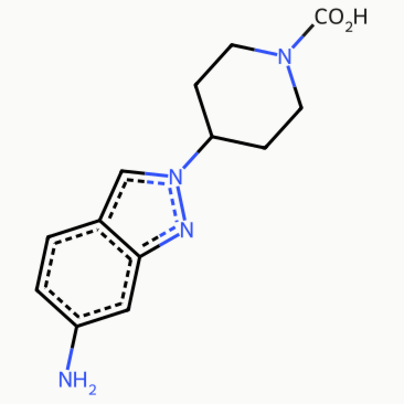 Nc1ccc2cn(C3CCN(C(=O)O)CC3)nc2c1